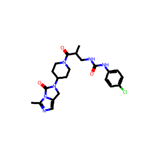 Cc1ncc2n1C(=O)N(C1CCN(C(=O)C(C)CNC(=O)Nc3ccc(Cl)cc3)CC1)C2